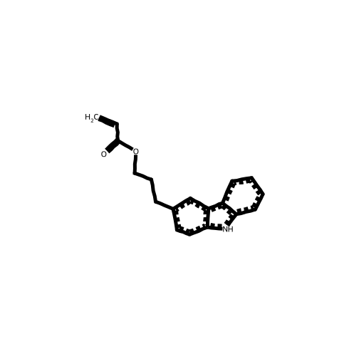 C=CC(=O)OCCCc1ccc2[nH]c3ccccc3c2c1